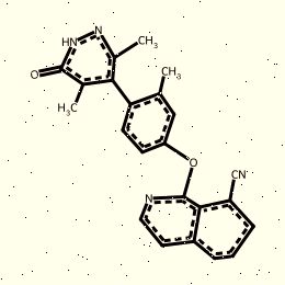 Cc1cc(Oc2nccc3cccc(C#N)c23)ccc1-c1c(C)n[nH]c(=O)c1C